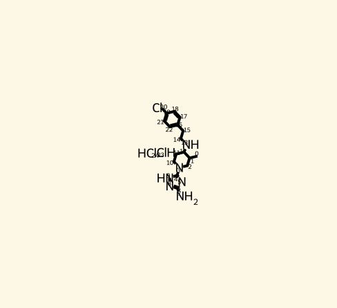 CC1CN(c2nc(N)n[nH]2)CCC1NCCc1ccc(Cl)cc1.Cl.Cl